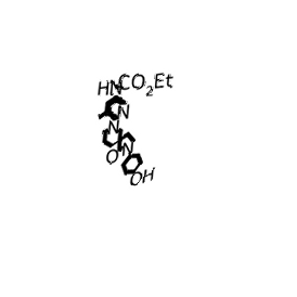 CCOC(=O)Nc1cnc(N2CCC[C@]3(CCN([C@H]4CC[C@H](O)CC4)C3=O)C2)c(C)c1